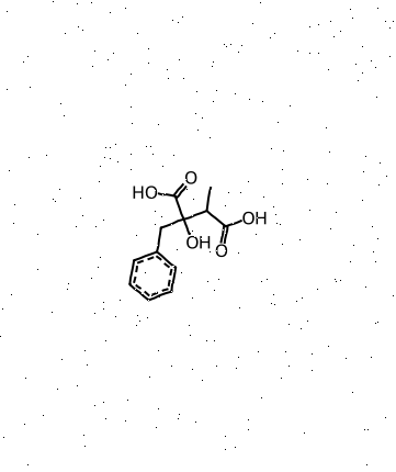 CC(C(=O)O)C(O)(Cc1ccccc1)C(=O)O